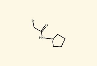 O=C(CBr)NN1CCCC1